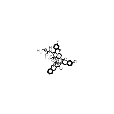 COC(=O)NCC(c1ccc(F)cc1F)N1CCN(C(=O)C(Cc2ccc(Cl)cc2)NC(=O)C2Cc3ccccc3CN2C(=O)OC(C)(C)C)CC1